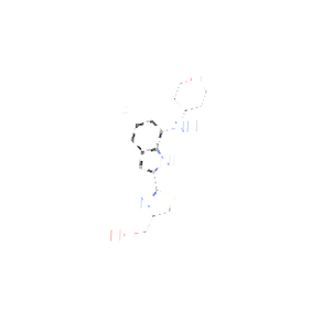 OCC1CSC(c2cc3cc(F)cc(NC4CCOCC4)c3[nH]2)=N1